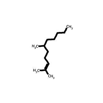 CCCCCC(C)CCC=C(C)C